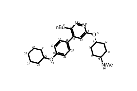 CCCCc1nnc(O[C@H]2CC[C@H](NC)CC2)cc1-c1ccc(OC2CCCCC2)cc1